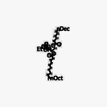 CCCCCCCC/C=C\CCCCCCCC(=O)O[C@H](COC(=O)CCCCCCCCCCCCCCC)COP(=O)(O)OCC